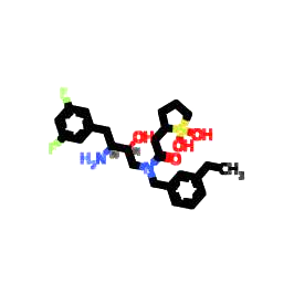 CCc1cccc(CN(C[C@@H](O)[C@@H](N)Cc2cc(F)cc(F)c2)C(=O)CC2CCCS2(O)O)c1